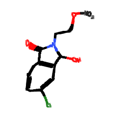 O=C1c2ccc(Cl)cc2C(O)N1CCO[N+](=O)[O-]